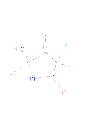 CCC1(C)NC(=O)C(F)(F)C1=O